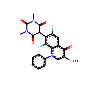 CCOC(=O)c1cn(-c2ccccc2)c2c(F)c(C3C(=O)N(C)C(=O)N(C)C3=O)c(F)cc2c1=O